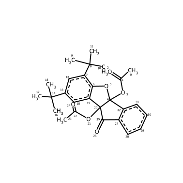 CC(=O)OC12Oc3c(C(C)(C)C)cc(C(C)(C)C)cc3C1(OC(C)=O)C(=O)c1ccccc12